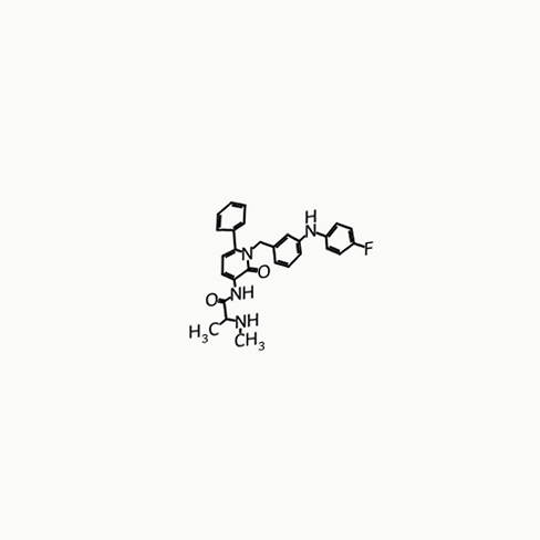 CNC(C)C(=O)Nc1ccc(-c2ccccc2)n(Cc2cccc(Nc3ccc(F)cc3)c2)c1=O